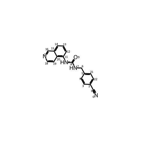 N#Cc1ccc(CNC(=O)Nc2cccc3cnccc23)cc1